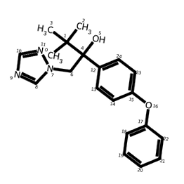 CC(C)(C)C(O)(Cn1cncn1)c1ccc(Oc2ccccc2)cc1